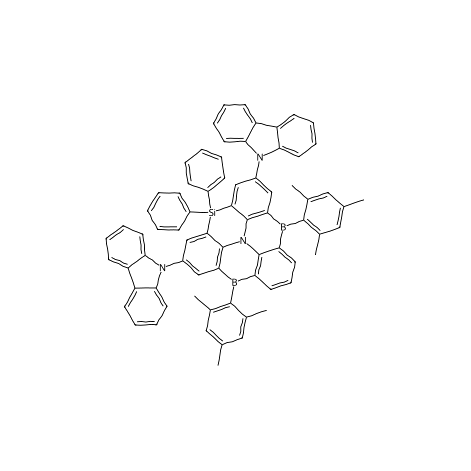 Cc1cc(C)c(B2c3cccc4c3N3c5c2cc(-n2c6ccccc6c6ccccc62)cc5[Si](c2ccccc2)(c2ccccc2)c2cc(-n5c6ccccc6c6ccccc65)cc(c23)B4c2c(C)cc(C)cc2C)c(C)c1